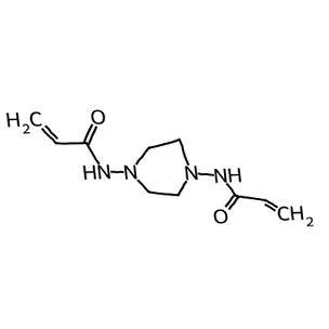 C=CC(=O)NN1CCN(NC(=O)C=C)CC1